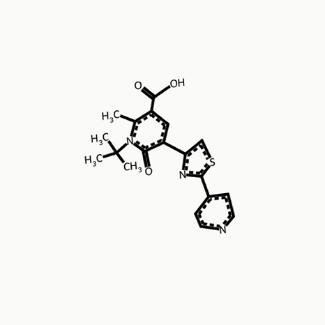 Cc1c(C(=O)O)cc(-c2csc(-c3ccncc3)n2)c(=O)n1C(C)(C)C